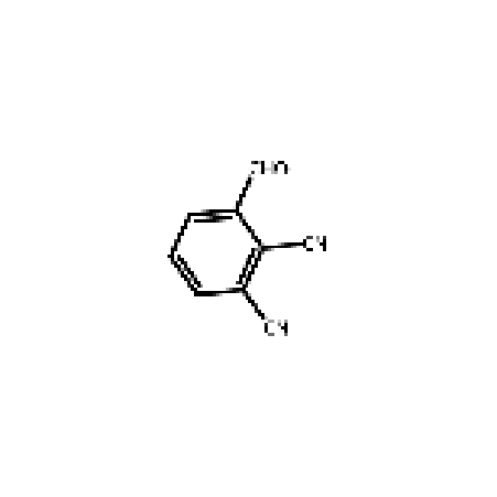 N#Cc1cccc([C]=O)c1C#N